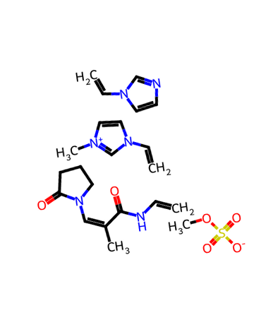 C=CNC(=O)C(C)=CN1CCCC1=O.C=Cn1cc[n+](C)c1.C=Cn1ccnc1.COS(=O)(=O)[O-]